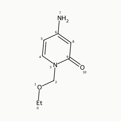 CCOCn1ccc(N)cc1=O